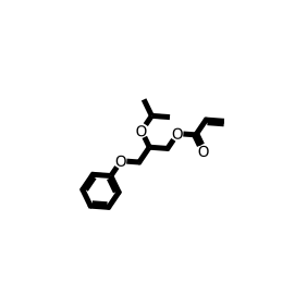 C=CC(=O)OCC(COc1ccccc1)OC(C)C